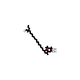 CCCC(C)(C=O)CCCCCCCCCCCCCCC1CC(C)C23CC(O)C(C)(O)C(C2)C(C)(C)C13